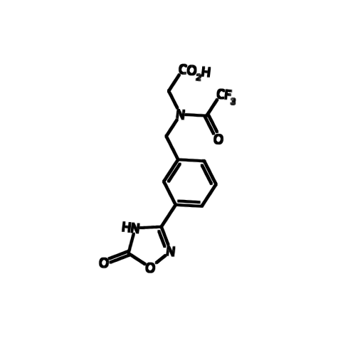 O=C(O)CN(Cc1cccc(-c2noc(=O)[nH]2)c1)C(=O)C(F)(F)F